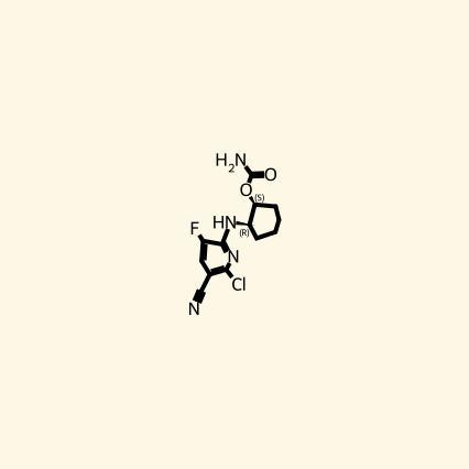 N#Cc1cc(F)c(N[C@@H]2CCCC[C@@H]2OC(N)=O)nc1Cl